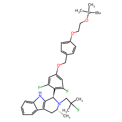 C[C@@H]1Cc2c([nH]c3ccccc23)[C@@H](c2c(F)cc(OCc3ccc(OCCO[Si](C)(C)C(C)(C)C)cc3)cc2F)N1CC(C)(C)F